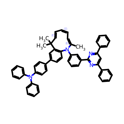 C\C1=C/C=C\C=C\C(C)(C)c2cc(-c3ccc(N(c4ccccc4)c4ccccc4)cc3)ccc2N1c1cccc(-c2nc(-c3ccccc3)cc(-c3ccccc3)n2)c1